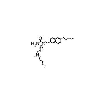 CCCCCCN(C)CCCN[C@@H](CCc1ccc2cc(CCCCC)ccc2c1)C(N)=O